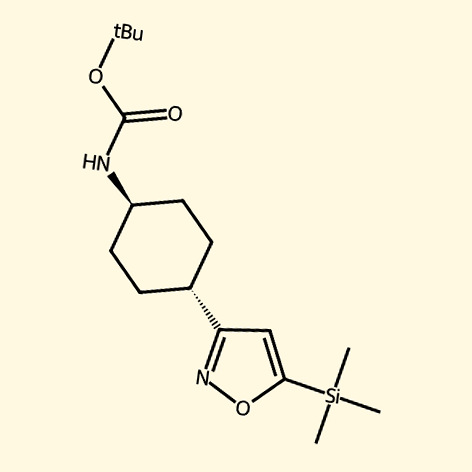 CC(C)(C)OC(=O)N[C@H]1CC[C@H](c2cc([Si](C)(C)C)on2)CC1